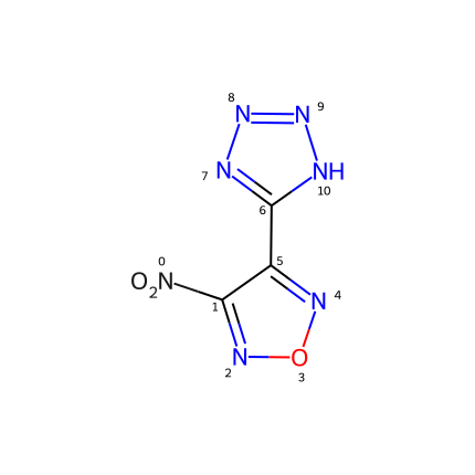 O=[N+]([O-])c1nonc1-c1nnn[nH]1